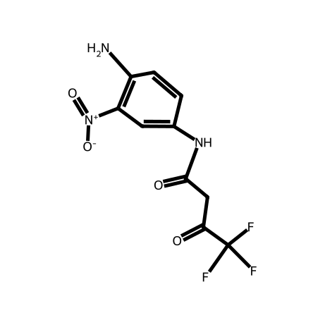 Nc1ccc(NC(=O)CC(=O)C(F)(F)F)cc1[N+](=O)[O-]